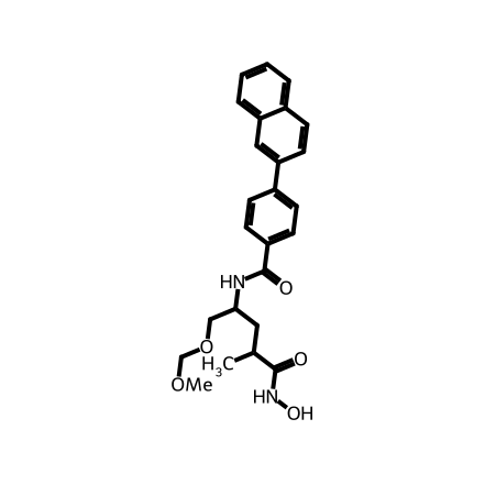 COCOCC(CC(C)C(=O)NO)NC(=O)c1ccc(-c2ccc3ccccc3c2)cc1